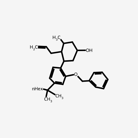 C=CCC1C(C)CC(O)CC1c1ccc(C(C)(C)CCCCCC)cc1OCc1ccccc1